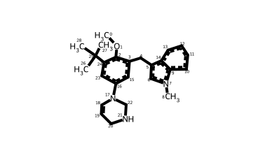 COc1c(Cc2cn(C)c3ccccc23)cc(N2C=CCNC2)cc1C(C)(C)C